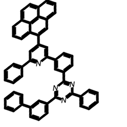 c1ccc(-c2cccc(-c3nc(-c4ccccc4)nc(-c4cccc(-c5cc(-c6cc7cccc8ccc9cccc6c9c87)cc(-c6ccccc6)n5)c4)n3)c2)cc1